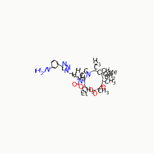 B[C@@H]1[C@@H](C)C(=O)[C@@H](C)C(=O)O[C@H](CC)[C@@]2(C)OC(=O)N(CCCCn3cc(-c4cccc(N)c4)nn3)[C@@H]2[C@@H](C)N(C)C[C@H](C)C[C@@]1(C)OC